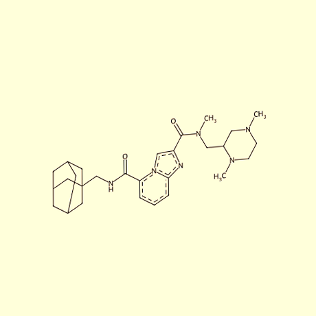 CN1CCN(C)C(CN(C)C(=O)c2cn3c(C(=O)NCC45CC6CC(CC(C6)C4)C5)cccc3n2)C1